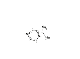 CCCCCN.c1cnccn1